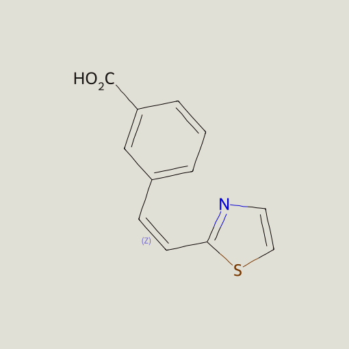 O=C(O)c1cccc(/C=C\c2nccs2)c1